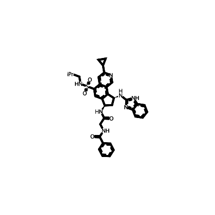 CC(C)CNS(=O)(=O)c1cc2c(c3cnc(C4CC4)cc13)[C@H](Nc1nc3ccccc3[nH]1)C[C@H]2NC(=O)CNC(=O)c1ccccc1